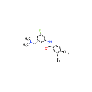 C#Cc1cc(C(=O)Nc2cc(F)cc(CN(C)C)c2)ccc1C